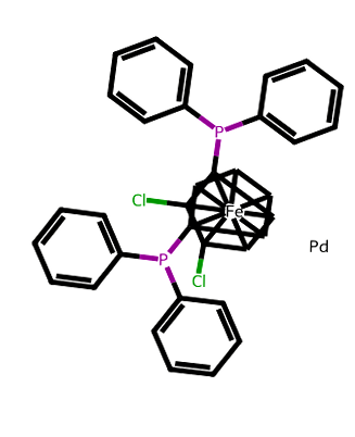 Cl[C]12[CH]3[CH]4[C]5(P(c6ccccc6)c6ccccc6)[C]1(Cl)[Fe]34251678[CH]2[CH]1[CH]6[C]7(P(c1ccccc1)c1ccccc1)[CH]28.[Pd]